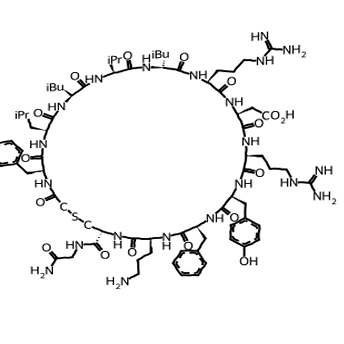 CC[C@H](C)[C@@H]1NC(=O)[C@H](CC(C)C)NC(=O)[C@H](Cc2ccccc2)NC(=O)CSC[C@@H](C(=O)NCC(N)=O)NC(=O)[C@H](CCCN)NC(=O)[C@H](Cc2ccccc2)NC(=O)[C@H](Cc2ccc(O)cc2)NC(=O)[C@H](CCCNC(=N)N)NC(=O)[C@H](CC(=O)O)NC(=O)[C@H](CCCNC(=N)N)NC(=O)[C@H]([C@@H](C)CC)NC(=O)[C@H](C(C)C)NC1=O